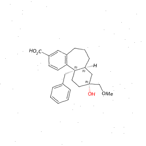 COC[C@@]1(O)CC[C@@]2(Cc3ccccc3)c3ccc(C(=O)O)cc3CCC[C@H]2C1